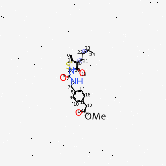 C=c1sn(C(=O)NCc2ccc(CC(=O)OC)cc2)c(=O)/c1=C/C=C\C